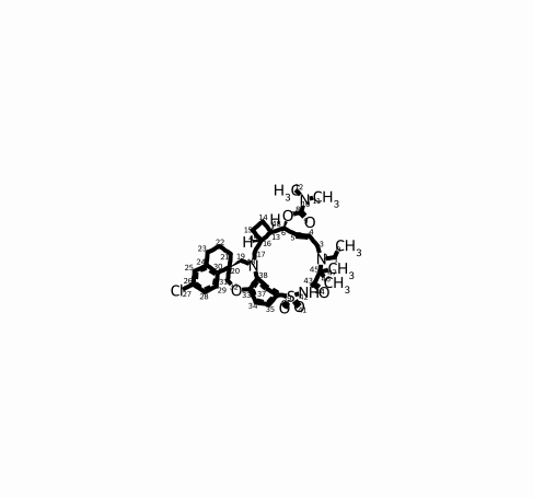 CCN1C/C=C/[C@H](OC(=O)N(C)C)[C@@H]2CC[C@H]2CN2C[C@@]3(CCCc4cc(Cl)ccc43)COc3ccc(cc32)S(=O)(=O)NC(=O)C1(C)C